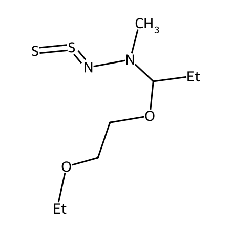 CCOCCOC(CC)N(C)N=S=S